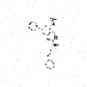 O/N=C1\CC(c2ccccc2)Cc2nc(NCCCc3ccccc3)ncc21